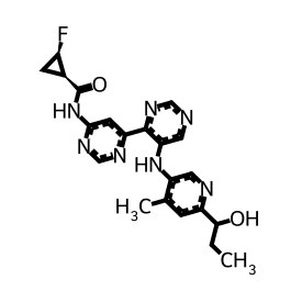 CCC(O)c1cc(C)c(Nc2cncnc2-c2cc(NC(=O)[C@H]3C[C@H]3F)ncn2)cn1